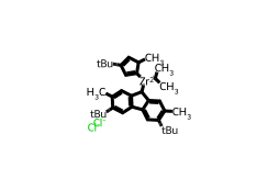 C[C](C)=[Zr+2]([C]1=CC(C(C)(C)C)=CC1C)[CH]1c2cc(C)c(C(C)(C)C)cc2-c2cc(C(C)(C)C)c(C)cc21.[Cl-].[Cl-]